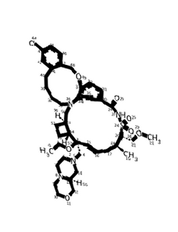 CCO[C@]1(CN2CCN3CCOC[C@@H]3C2)/C=C/C[C@H](C)[C@@H](COC)S(=O)(=O)NC(=O)c2ccc3c(c2)N(CCCCc2cc(Cl)ccc2CO3)C[C@@H]2CC[C@H]21